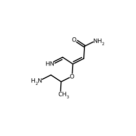 CC(CN)O/C(C=N)=C/C(N)=O